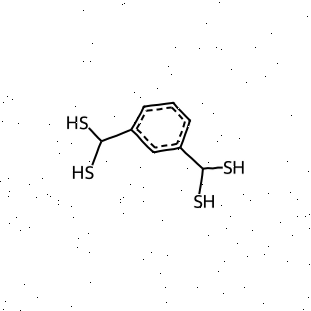 SC(S)c1cccc(C(S)S)c1